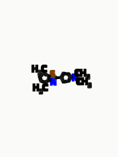 Cc1ccc(C)c2sc(-c3ccc(N(C)C)cc3)nc12